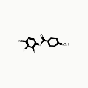 CCCCCCCCC1CCC(C(=O)Oc2ccc(C#N)c(F)c2F)CC1